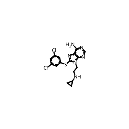 Nc1ncnc2c1nc(Sc1cc(Cl)cc(Cl)c1)n2CCNC1CC1